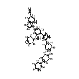 N#Cc1cnn2c(-c3cc(NC4CCOCC4)c(-c4nnc(N5CCN(CC6CCN(c7cccnc7)CC6)CC5)s4)cn3)ccc2c1